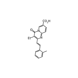 CCc1c(C=Cc2ccccc2C)nc2ccc(C(=O)O)cn2c1=O